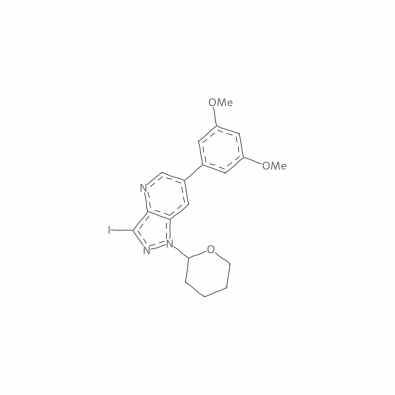 COc1cc(OC)cc(-c2cnc3c(I)nn(C4CCCCO4)c3c2)c1